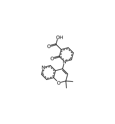 CC1(C)C=C(n2cccc(C(=O)O)c2=O)c2cnccc2O1